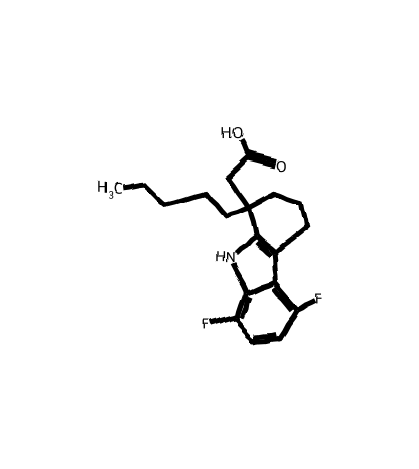 CCCCCC1(CC(=O)O)CCCc2c1[nH]c1c(F)ccc(F)c21